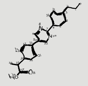 CCCc1ccc(-c2ncc(-c3ccc(C(C)C(=O)O)cc3)cn2)cc1